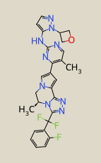 Cc1cnc(Nc2ccnn2C2COC2)nc1-c1cc2n(c1)C[C@H](C)n1c-2nnc1C(F)(F)c1ccccc1F